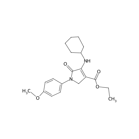 CCOC(=O)C1=C(NC2CCCCC2)C(=O)N(c2ccc(OC)cc2)C1